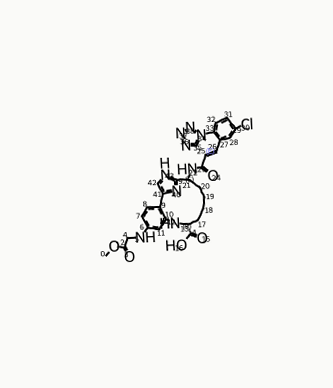 COC(=O)CNc1ccc2c(c1)N[C@@H](C(=O)O)CCCC[C@H](NC(=O)/C=C/c1cc(Cl)ccc1-n1cnnn1)c1nc-2c[nH]1